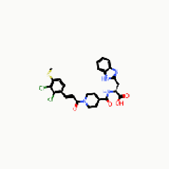 CSc1ccc(/C=C/C(=O)N2CCC(C(=O)N[C@@H](Cc3nc4ccccc4[nH]3)C(=O)O)CC2)c(Cl)c1Cl